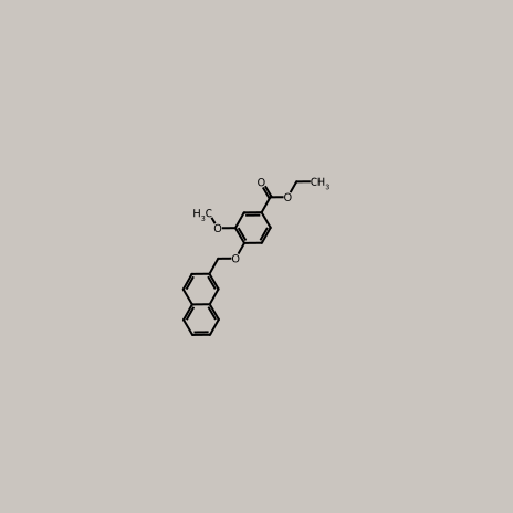 CCOC(=O)c1ccc(OCc2ccc3ccccc3c2)c(OC)c1